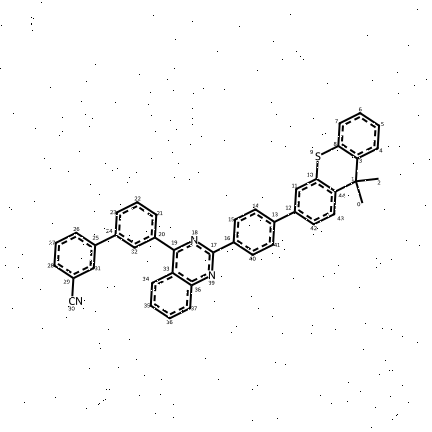 CC1(C)c2ccccc2Sc2cc(-c3ccc(-c4nc(-c5cccc(-c6cccc(C#N)c6)c5)c5ccccc5n4)cc3)ccc21